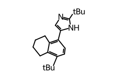 CC(C)(C)c1ncc(-c2ccc(C(C)(C)C)c3c2CCCC3)[nH]1